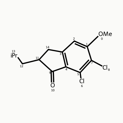 COc1cc2c(c(Cl)c1Cl)C(=O)C(CC(C)C)C2